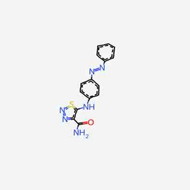 NC(=O)c1nnsc1Nc1ccc(/N=N/c2ccccc2)cc1